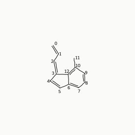 C=C/C=C1/C=Cc2cccc(C)c21